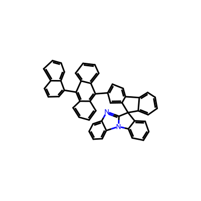 c1ccc2c(c1)-c1ccc(-c3c4ccccc4c(-c4cccc5ccccc45)c4ccccc34)cc1C21c2ccccc2-n2c1nc1ccccc12